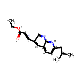 CCOC(=O)/C=C/c1cnc2nc(CC(C)C)ccc2c1